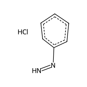 Cl.N=Nc1ccccc1